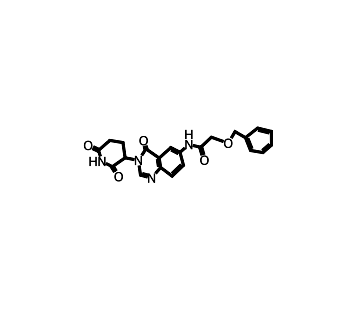 O=C1CCC(n2cnc3ccc(NC(=O)COCc4ccccc4)cc3c2=O)C(=O)N1